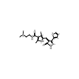 Cc1[nH]c(C=C2C(=O)NN=C2c2ccco2)c(C)c1C(=O)NCCN(C)C